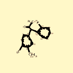 CC(=O)C(c1ccc(F)c(C)c1)c1ccccc1F